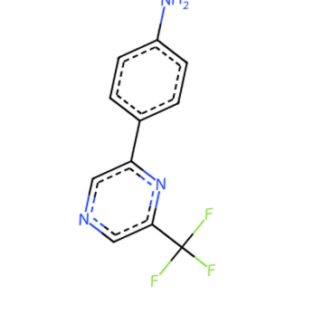 Nc1ccc(-c2cncc(C(F)(F)F)n2)cc1